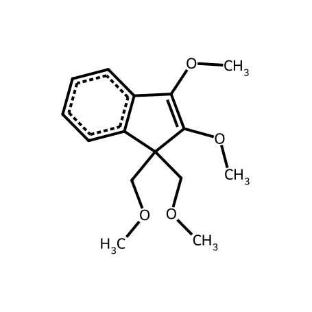 COCC1(COC)C(OC)=C(OC)c2ccccc21